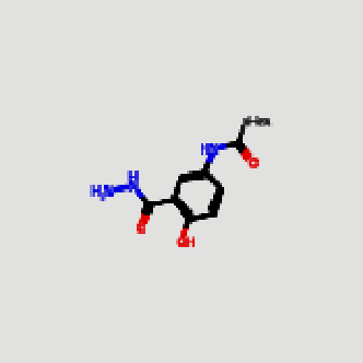 CCCCCCC(=O)Nc1ccc(O)c(C(=O)NN)c1